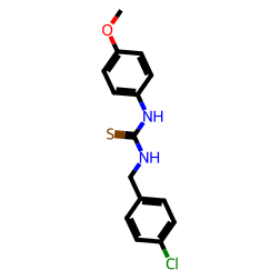 COc1ccc(NC(=S)NCc2ccc(Cl)cc2)cc1